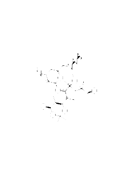 CO[C@](C)(C[C@@H](C)C=O)[C@H](O[C@@H]1O[C@H](CN=[N+]=[N-])CC(N(C)C)[C@H]1C)[C@@H](C)C1=C(C)C(=O)OC(C)(C)O1